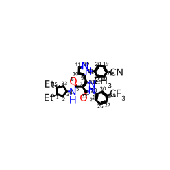 CC[C@@H]1C[C@H](NC(=O)c2c(-c3ccnn3-c3ccc(C#N)cc3)n(C)n(-c3cccc(C(F)(F)F)c3)c2=O)C[C@@H]1CC